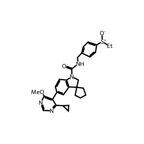 CC[S+]([O-])c1ccc(CNC(=O)N2CC3(CCCC3)c3cc(-c4c(OC)ncnc4C4CC4)ccc32)cc1